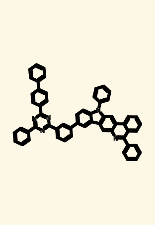 c1ccc(-c2ccc(-c3nc(-c4ccccc4)nc(-c4cccc(-c5ccc6c(c5)c5cc7nc(-c8ccccc8)c8ccccc8c7cc5n6-c5ccccc5)c4)n3)cc2)cc1